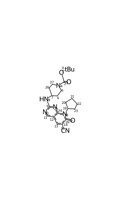 CC(C)(C)OC(=O)N1CCC(Nc2ncc3cc(C#N)c(=O)n(C4CCCC4)c3n2)CC1